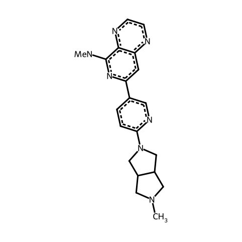 CNc1nc(-c2ccc(N3CC4CN(C)CC4C3)nc2)cc2nccnc12